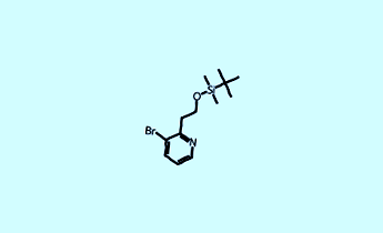 CC(C)(C)[Si](C)(C)OCCc1ncccc1Br